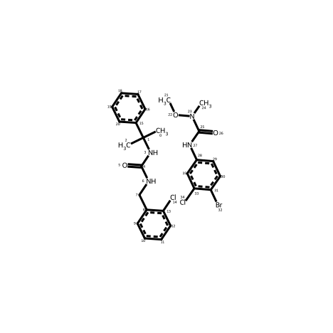 CC(C)(NC(=O)NCc1ccccc1Cl)c1ccccc1.CON(C)C(=O)Nc1ccc(Br)c(Cl)c1